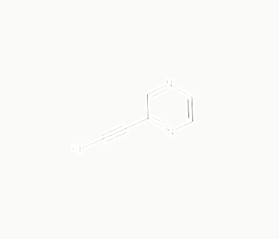 ClC#Cc1cnccn1